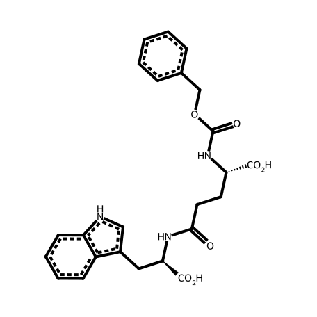 O=C(CC[C@H](NC(=O)OCc1ccccc1)C(=O)O)N[C@H](Cc1c[nH]c2ccccc12)C(=O)O